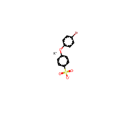 O=S(=O)([O-])c1ccc(Oc2ccc(Br)cc2)cc1.[K+]